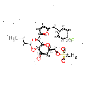 CCCCOc1c(C(=O)c2ccc(Cc3ccc(F)cc3)o2)oc(COS(C)(=O)=O)cc1=O